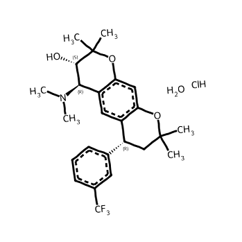 CN(C)[C@@H]1c2cc3c(cc2OC(C)(C)[C@H]1O)OC(C)(C)C[C@@H]3c1cccc(C(F)(F)F)c1.Cl.O